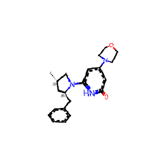 C[C@H]1C[C@H](Cc2ccccc2)N(c2cc(N3CCOCC3)cc(=O)[nH]2)C1